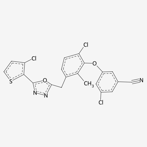 Cc1c(Cc2nnc(-c3sccc3Cl)o2)ccc(Cl)c1Oc1cc(Cl)cc(C#N)c1